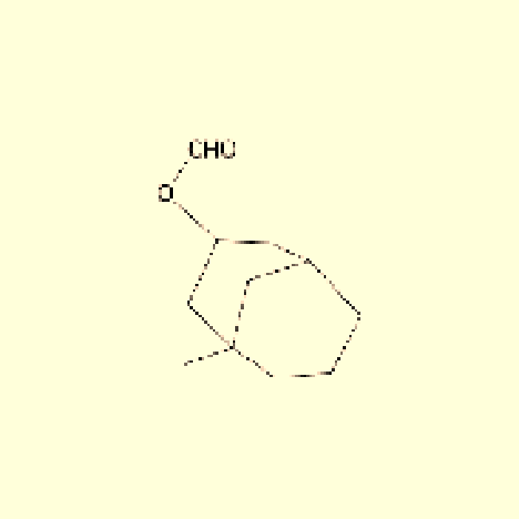 CC12CCCC(CC(OC=O)C1)C2